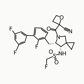 N#CC1(C(=O)N2CC3(CC3)[C@H](NS(=O)(=O)CF)[C@@H]2Cc2cccc(-c3cc(F)cc(F)c3)c2F)CCO1